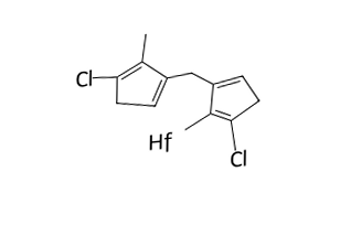 CC1=C(Cl)CC=C1CC1=CCC(Cl)=C1C.[Hf]